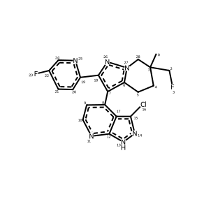 CC1(CF)CCc2c(-c3ccnc4[nH]nc(Cl)c34)c(-c3ccc(F)cn3)nn2C1